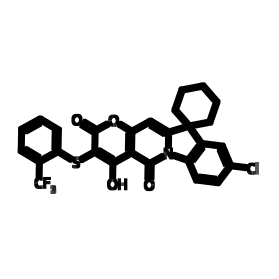 O=c1oc2cc3n(c(=O)c2c(O)c1Sc1ccccc1C(F)(F)F)-c1ccc(Cl)cc1C31CCCCC1